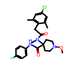 CON1CCC(C(=O)Nc2ccc(F)cc2)(N(C)C(=O)Cc2c(C)cc(Cl)cc2C)CC1